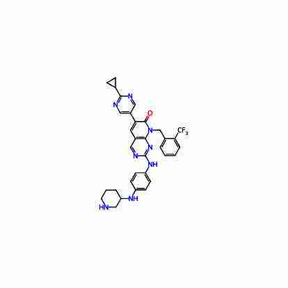 O=c1c(-c2cnc(C3CC3)nc2)cc2cnc(Nc3ccc(NC4CCCNC4)cc3)nc2n1Cc1ccccc1C(F)(F)F